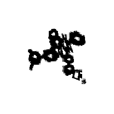 Cc1cc(C)cc(-c2ccc3c(c2)c2ccccc2n3-c2cc(-c3cccc(C(F)(F)F)c3)ccc2-c2nc(-c3ccccc3)nc(-c3ccccc3)n2)c1